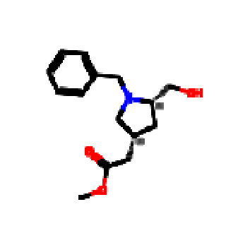 COC(=O)C[C@H]1C[C@@H](CO)N(Cc2ccccc2)C1